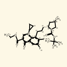 CCOC(=O)c1cn(C2CC2)c2c(CCC[C@@H]3C[C@@H](C)CN3C(=O)OC(C)(C)C)c(F)c(F)cc2c1=O